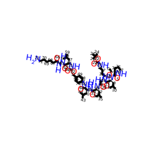 CC(=O)[C@]1(C(=O)N[C@@H](CC(C)C)C(=O)N(CCCCNC(=O)OC(C)(C)C)CC(=O)N[C@@H](CC(C)C)C(=O)N[C@@H](CC(C)C)C(=O)Nc2ccc(COC(=O)N[C@H](CC(C)C)C(=O)NNC(=O)CCCCCN)cc2)CCCN1